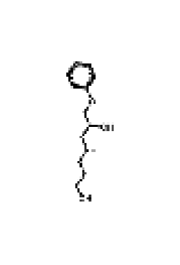 OCCCNCC(O)COc1ccccc1